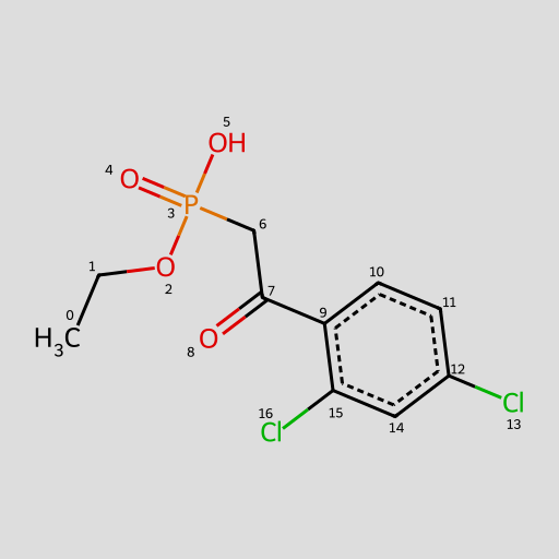 CCOP(=O)(O)CC(=O)c1ccc(Cl)cc1Cl